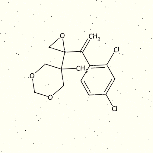 C=C(c1ccc(Cl)cc1Cl)C1(C2(C)COCOC2)CO1